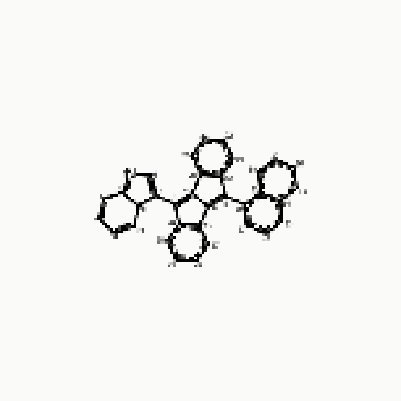 C1=CC2=NC=C(C3=C4C(=C(c5cccc6ccccc56)c5ccccc54)c4ccccc43)C2C=C1